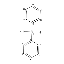 I[Si](I)(c1ccccc1)c1ccccc1